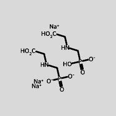 O=C(O)CNCP(=O)([O-])O.O=C(O)CNCP(=O)([O-])[O-].[Na+].[Na+].[Na+]